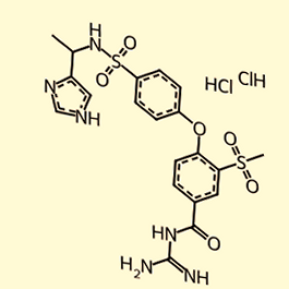 CC(NS(=O)(=O)c1ccc(Oc2ccc(C(=O)NC(=N)N)cc2S(C)(=O)=O)cc1)c1c[nH]cn1.Cl.Cl